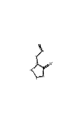 C=CCC1OCCC1=O